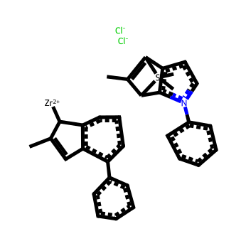 CC1=C2c3ccn(-c4ccccc4)c3C1[Si]2(C)C.CC1=Cc2c(-c3ccccc3)cccc2[CH]1[Zr+2].[Cl-].[Cl-]